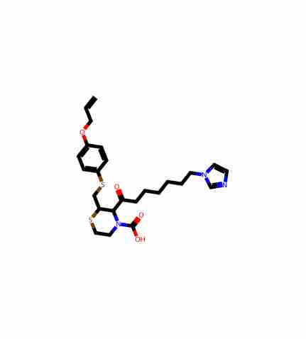 C=CCOc1ccc(SCC2SCCN(C(=O)O)C2C(=O)CCCCCCn2ccnc2)cc1